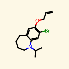 C=CCOc1cc2c(cc1Br)N(C(C)C)CCCC2